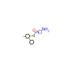 Cc1ccc(C2CC2C(=O)N2CCC(N)C2)c(-c2ccccc2)c1